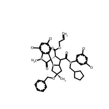 C=CCOC(=O)C1C(C(=O)N(CC2CCCC2)c2cc(Cl)cc(Cl)c2)C2C[C@](C)(OCc3ccccc3)CN2[C@]12C(=O)N(C)c1c(Cl)cc(Cl)cc12